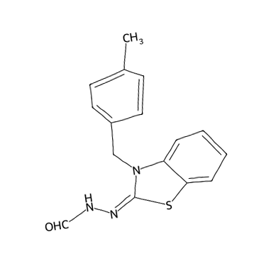 Cc1ccc(Cn2c(=NNC=O)sc3ccccc32)cc1